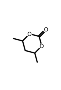 CC1CC(C)OC(=O)O1